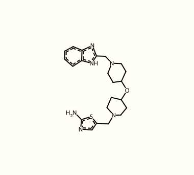 Nc1ncc(CN2CCC(OC3CCN(Cc4nc5ccccc5[nH]4)CC3)CC2)s1